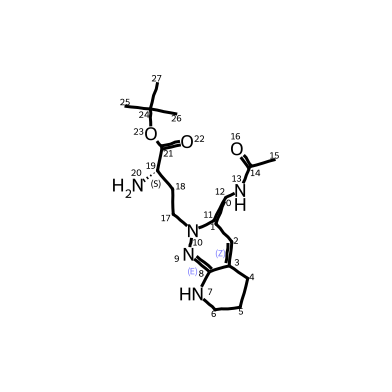 CC/C=C1/CCCN/C1=N/N(CCNC(C)=O)CC[C@H](N)C(=O)OC(C)(C)C